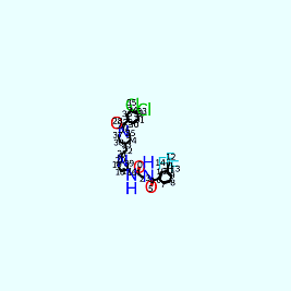 O=C(CNC(=O)c1cccc(C(F)(F)F)c1)N[C@@H]1CCN(CCC2CCN(C(=O)c3ccc(Cl)c(Cl)c3)CC2)C1